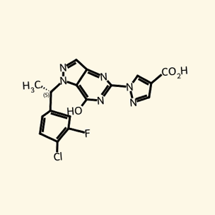 C[C@@H](c1ccc(Cl)c(F)c1)n1ncc2nc(-n3cc(C(=O)O)cn3)nc(O)c21